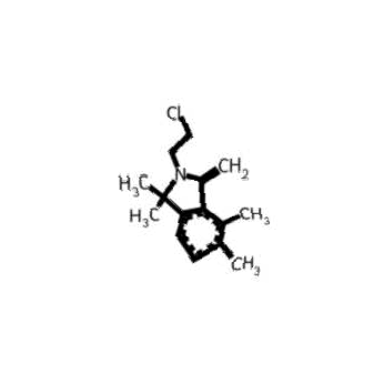 C=C1c2c(ccc(C)c2C)C(C)(C)N1CCCl